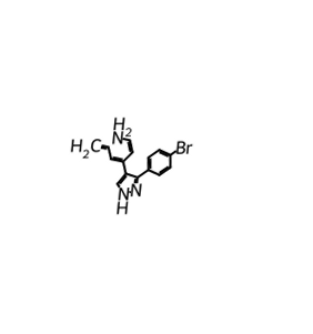 C=C/C=C(\C=C/N)c1c[nH]nc1-c1ccc(Br)cc1